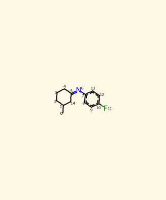 CC1CCCC(=Nc2ccc(F)cc2)C1